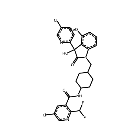 COc1cccc2c1C(O)(c1ccc(Cl)cn1)C(=O)N2CC1CCC(NC(=O)c2cc(Cl)cnc2C(F)F)CC1